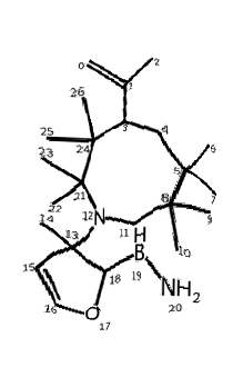 C=C(C)C1CC(C)(C)C(C)(C)CN(C2(C)C=COC2BN)C(C)(C)C1(C)C